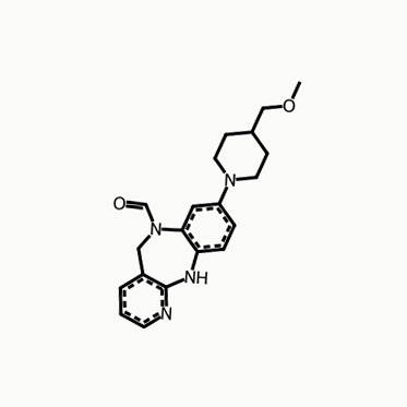 COCC1CCN(c2ccc3c(c2)N(C=O)Cc2cccnc2N3)CC1